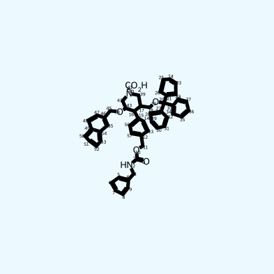 O=C(NCc1ccccc1)OCc1ccc(C2C(COC(c3ccccc3)(c3ccccc3)c3ccccc3)CN(C(=O)O)CC2OCc2ccc3ccccc3c2)cc1